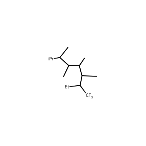 CCC(C(C)C(C)C(C)C(C)C(C)C)C(F)(F)F